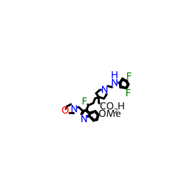 COc1ccc2ncc(CN3CCOCC3)c(C(F)CCC3(CC(=O)O)CCN(CCNc4cc(F)cc(F)c4)CC3)c2c1